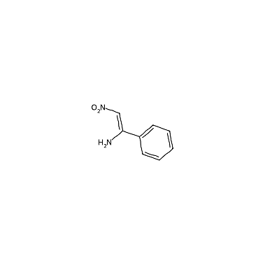 NC(=C[N+](=O)[O-])c1ccccc1